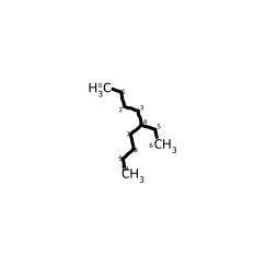 CCCCC(CC)CCCC